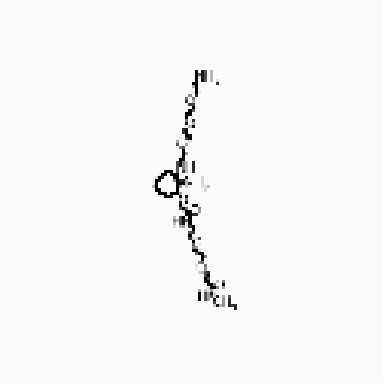 CNC(=O)CCOCCOCCNC(=O)COC1CCCCC/C(NCCOCCOCCOCCN)=C\1N